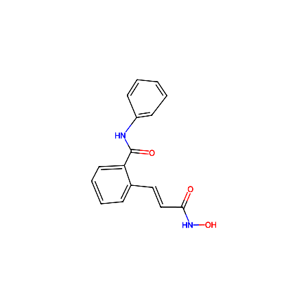 O=C(C=Cc1ccccc1C(=O)Nc1ccccc1)NO